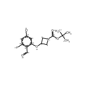 CC(C)(C)OC(=O)N1CC(Oc2cc(Cl)cc(F)c2C=O)C1